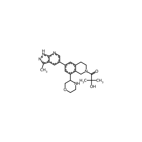 Cc1n[nH]c2ncc(-c3cc4c(c(C5COCCN5)c3)CN(C(=O)C(C)(C)O)CC4)cc12